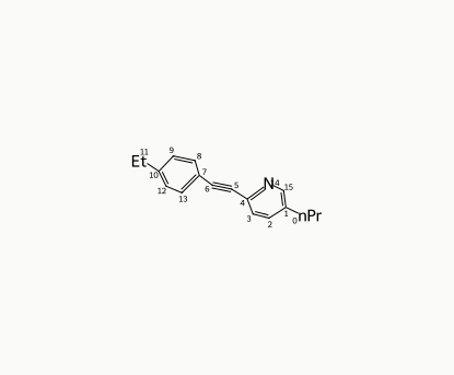 CCCc1ccc(C#Cc2ccc(CC)cc2)nc1